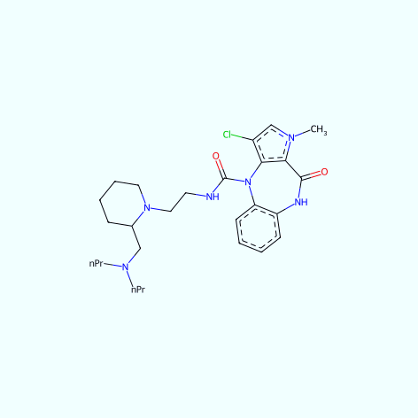 CCCN(CCC)CC1CCCCN1CCNC(=O)N1c2ccccc2NC(=O)c2c1c(Cl)cn2C